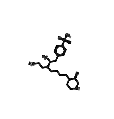 CCCN(CCCCN1CCNCC1=O)C(C)Cc1ccc(S(C)(=O)=O)cc1